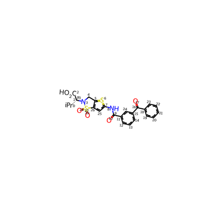 CC(C)[C@H](C(=O)O)N1Cc2sc(NC(=O)c3cccc(C(=O)c4ccccc4)c3)cc2S1(=O)=O